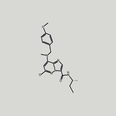 CC[C@@H](C)NC(=O)c1cnc2c(N(C)Cc3ccc(OC)cc3)cc(Cl)nn12